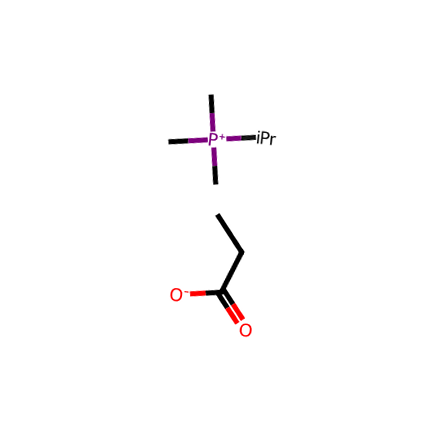 CC(C)[P+](C)(C)C.CCC(=O)[O-]